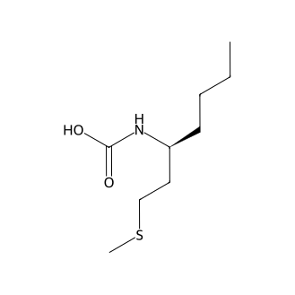 CCCC[C@@H](CCSC)NC(=O)O